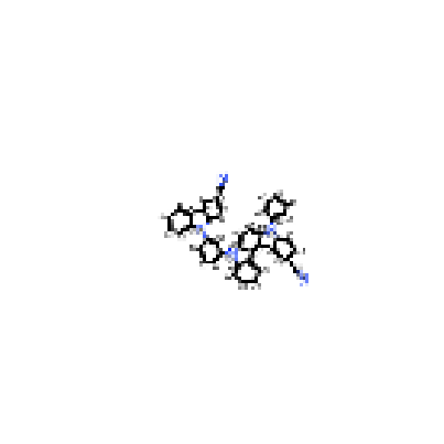 N#Cc1ccc2c(c1)c1ccccc1n2-c1cccc(-n2c3ccccc3c3c4c5cc(C#N)ccc5n(-c5ccccc5)c4ccc32)c1